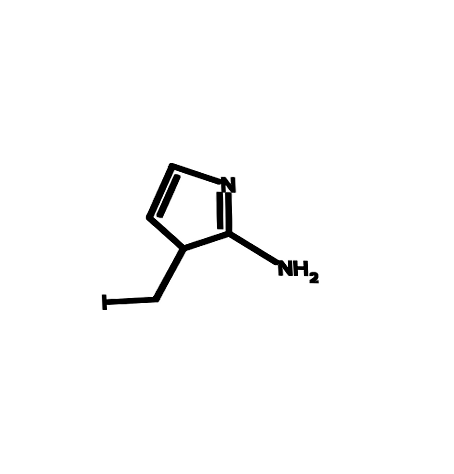 NC1=NC=CC1CI